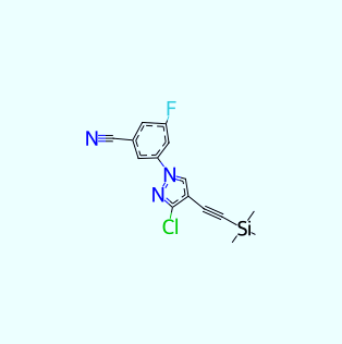 C[Si](C)(C)C#Cc1cn(-c2cc(F)cc(C#N)c2)nc1Cl